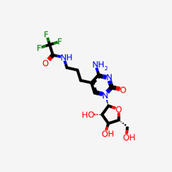 Nc1nc(=O)n([C@@H]2O[C@H](CO)C(O)[C@@H]2O)cc1CCCNC(=O)C(F)(F)F